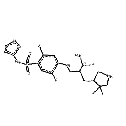 C[C@@H](N)C(CNc1cc(F)c(S(=O)(=O)Nc2ncns2)cc1F)CC1CNCC1(C)C